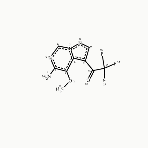 COc1c(N)ncn2ncc(C(=O)C(F)(F)F)c12